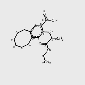 CCOC(=O)C(C)Oc1cc2c(cc1[N+](=O)[O-])CCCCCC2